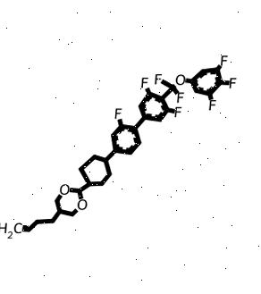 C=CCCC1COC(C2CCC(c3ccc(-c4cc(F)c(C(F)(F)Oc5cc(F)c(F)c(F)c5)c(F)c4)c(F)c3)CC2)OC1